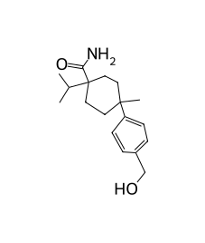 CC(C)C1(C(N)=O)CCC(C)(c2ccc(CO)cc2)CC1